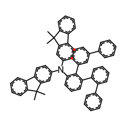 CC1(C)c2ccccc2-c2ccc(N(c3ccc4c(c3)C(C)(C)c3ccccc3-4)c3cccc(-c4ccccc4-c4ccccc4)c3-c3cccc(-c4ccccc4)c3)cc21